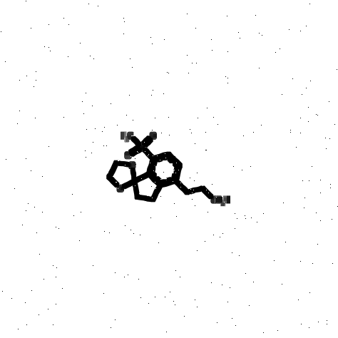 O=C(O)CCc1ccc(S(=O)(=O)C(F)(F)F)c2c1CCC21OCCO1